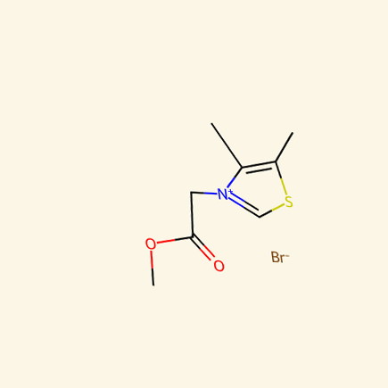 COC(=O)C[n+]1csc(C)c1C.[Br-]